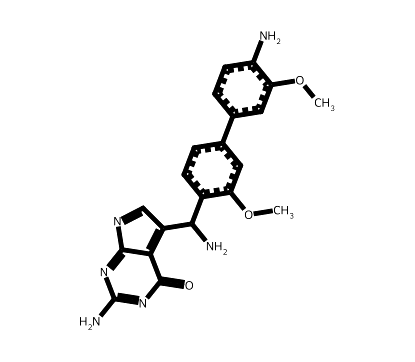 COc1cc(-c2ccc(C(N)C3=C4C(=O)N=C(N)N=C4N=C3)c(OC)c2)ccc1N